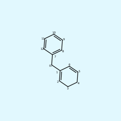 [CH](C1=CCCC=C1)c1ccccc1